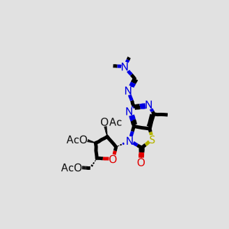 CC(=O)OC[C@H]1O[C@@H](n2c(=O)sc3c(C)nc(/N=C/N(C)C)nc32)[C@H](OC(C)=O)[C@@H]1OC(C)=O